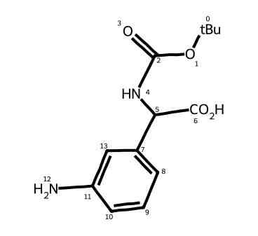 CC(C)(C)OC(=O)NC(C(=O)O)c1cccc(N)c1